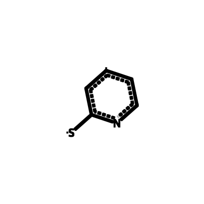 [S]c1c[c]ccn1